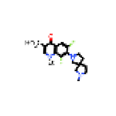 CCn1cc(C(=O)O)c(=O)c2cc(F)c(N3CCC4(CCN(C)C4)C3)c(F)c21